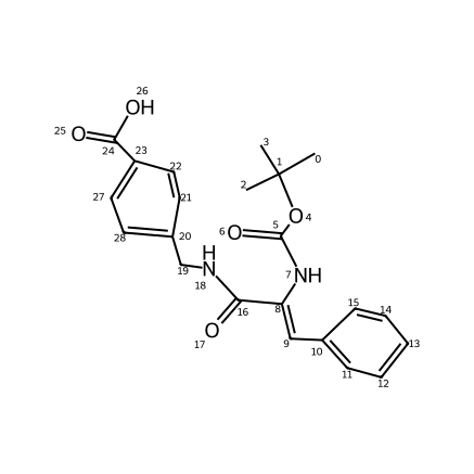 CC(C)(C)OC(=O)NC(=Cc1ccccc1)C(=O)NCc1ccc(C(=O)O)cc1